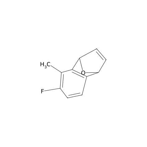 Cc1c(F)ccc2c1C1C=CC2O1